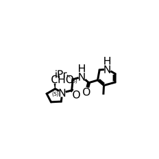 CC1=C(C(=O)N[C@H](C(=O)N2CCC[C@H]2C=O)C(C)C)CNC=C1